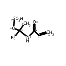 C=CC(=O)NC(C)(CC)OS(=O)(=O)O